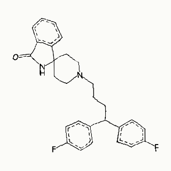 O=C1NC2(CCN(CCCC(c3ccc(F)cc3)c3ccc(F)cc3)CC2)c2ccccc21